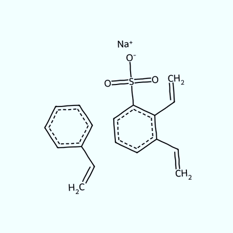 C=Cc1cccc(S(=O)(=O)[O-])c1C=C.C=Cc1ccccc1.[Na+]